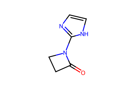 O=C1CCN1c1ncc[nH]1